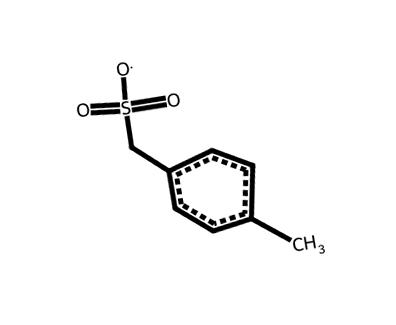 Cc1ccc(CS([O])(=O)=O)cc1